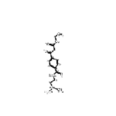 CCOC(=O)CC(=O)c1ccc(C(=O)NCCN(C)C)cc1